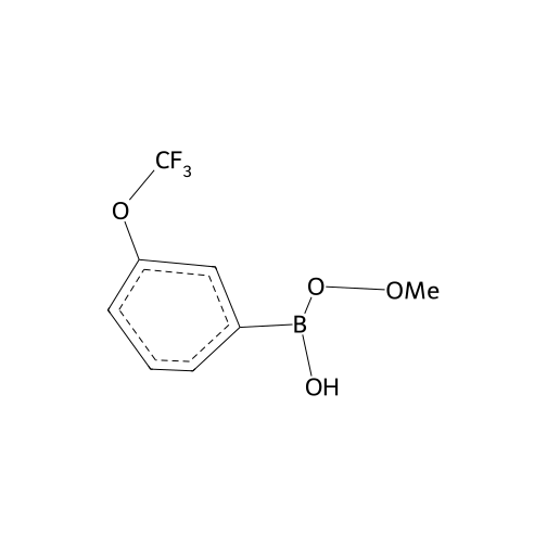 COOB(O)c1cccc(OC(F)(F)F)c1